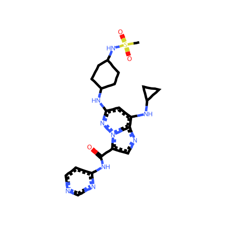 CS(=O)(=O)NC1CCC(Nc2cc(NC3CC3)c3ncc(C(=O)Nc4ccncn4)n3n2)CC1